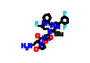 CC(C)(C)[C@H](c1nc(-c2cc(F)ccc2F)cn1Cc1ccccc1)N(CC[C@H](N)CF)C(=O)CNC(=O)[C@@H](CCN)N1C(=O)C=CC1=O